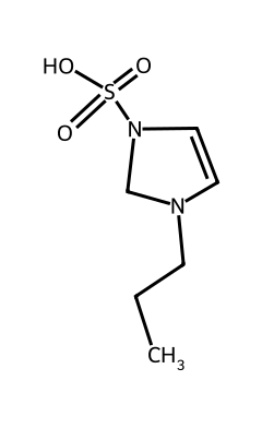 CCCN1C=CN(S(=O)(=O)O)C1